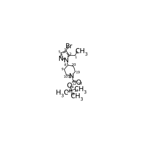 CCc1c(Br)cnn1C1CCN(C(=O)OC(C)(C)C)CC1